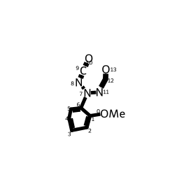 COc1ccccc1N(N=C=O)N=C=O